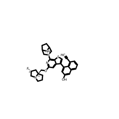 C#Cc1cccc2cc(O)cc(-c3csc4c(N5CC6CCC(C5)N6)nc(OC[C@@]56CCCN5C[C@H](F)C6)cc34)c12